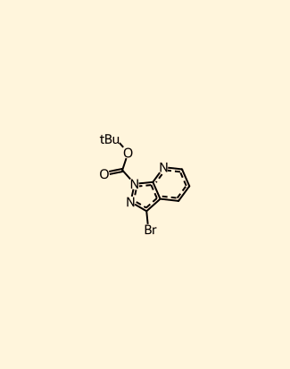 CC(C)(C)OC(=O)n1nc(Br)c2cccnc21